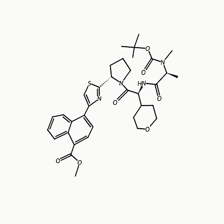 COC(=O)c1ccc(-c2csc([C@@H]3CCCN3C(=O)[C@@H](NC(=O)[C@H](C)N(C)C(=O)OC(C)(C)C)C3CCOCC3)n2)c2ccccc12